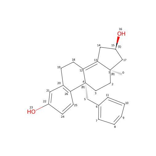 C[C@]12CC[C@]3(Cc4ccccc4)C(=C1C[C@@H](O)C2)CCc1cc(O)ccc13